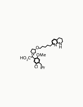 COc1cc(CC(C)C)c(Cl)cc1C(C(=O)O)N1CC[C@@H](OCCCCCc2ccc3c(n2)NCCC3)C1